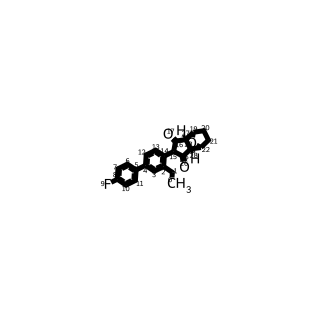 CCc1cc(-c2ccc(F)cc2)ccc1C1C(=O)[C@@H]2C3CCC(O3)[C@@H]2C1=O